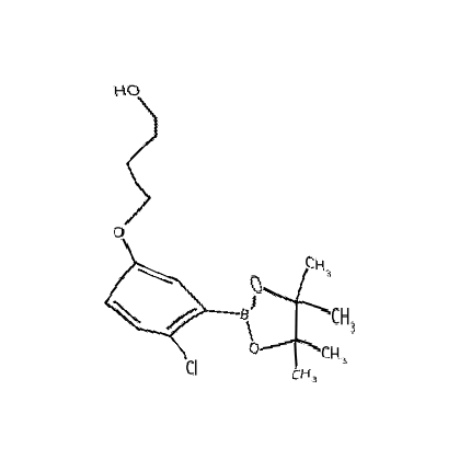 CC1(C)OB(c2cc(OCCCO)ccc2Cl)OC1(C)C